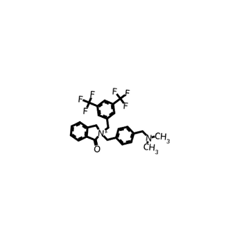 CN(C)Cc1ccc(C[N+]2(Cc3cc(C(F)(F)F)cc(C(F)(F)F)c3)Cc3ccccc3C2=O)cc1